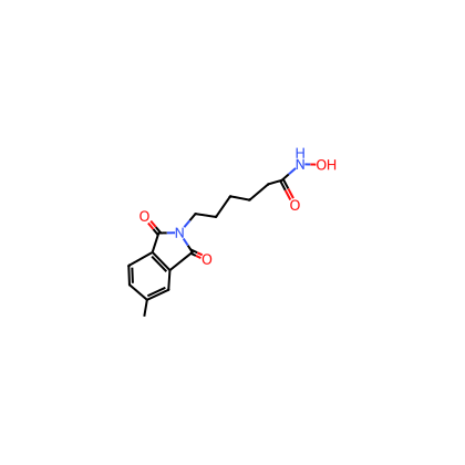 Cc1ccc2c(c1)C(=O)N(CCCCCC(=O)NO)C2=O